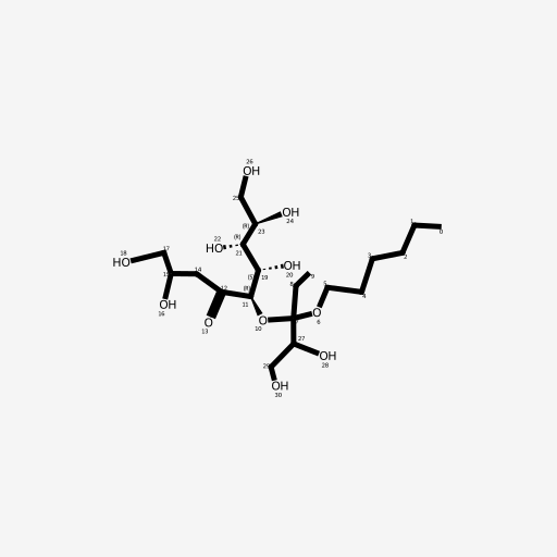 CCCCCCOC(CC)(O[C@@H](C(=O)CC(O)CO)[C@@H](O)[C@H](O)[C@H](O)CO)C(O)CO